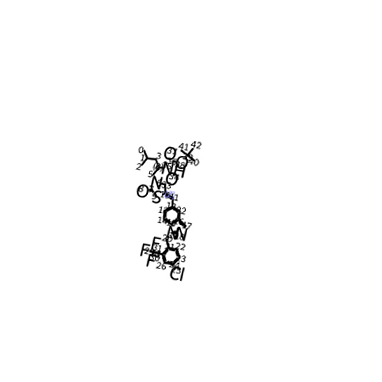 CC(C)C[C@H](CN1C(=O)S/C(=C\c2ccc3c(cnn3Cc3ccc(Cl)cc3C(F)(F)F)c2)C1=O)NC(=O)OC(C)(C)C